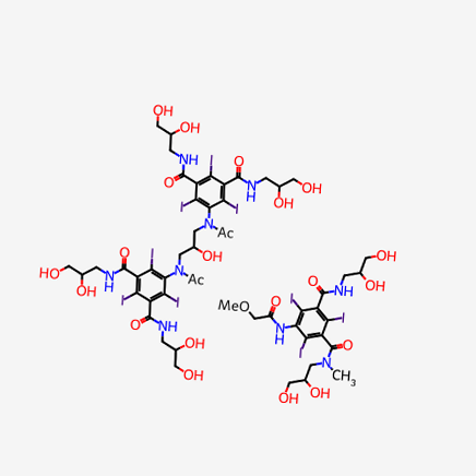 CC(=O)N(CC(O)CN(C(C)=O)c1c(I)c(C(=O)NCC(O)CO)c(I)c(C(=O)NCC(O)CO)c1I)c1c(I)c(C(=O)NCC(O)CO)c(I)c(C(=O)NCC(O)CO)c1I.COCC(=O)Nc1c(I)c(C(=O)NCC(O)CO)c(I)c(C(=O)N(C)CC(O)CO)c1I